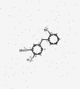 COc1cc(Cc2ccccc2C#N)ccc1C